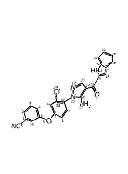 N#Cc1cccc(Oc2ccc(-n3ncc(C(=O)c4cc5ccccc5[nH]4)c3N)c(Cl)c2)c1